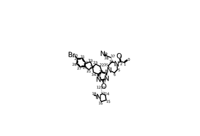 C=CC(=O)N1CCN(c2nc(OC[C@@H]3CCCN3C)nc3c2CCC2(Cc4ccc(Br)cc4C2)C3)C[C@@H]1CC#N